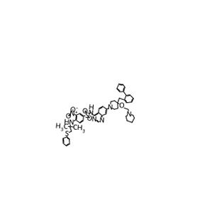 CC(C)(CSc1ccccc1)Nc1ccc(S(=O)(=O)Nc2ncnc3cc(N4CCC(Cc5ccccc5-c5ccccc5)(OCCN5CCCCC5)CC4)ccc23)cc1[N+](=O)[O-]